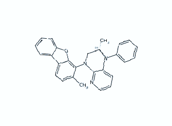 Cc1ccc2c(oc3ccccc32)c1N1C[C@H](C)N(c2ccccc2)c2cccnc21